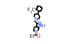 CCC(=O)N1CCc2c(CN3CCC(c4ccccc4C(F)(F)F)CC3)n[nH]c2C1